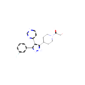 O=C(CO)N1CCC(c2[nH]nc(-c3cccc(F)c3)c2-c2ccncn2)CC1